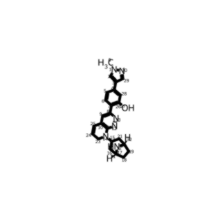 Cn1cc(-c2ccc(-c3cc4c(nn3)N(C3C[C@H]5CC[C@@H](C3)N5)CC=C4)c(O)c2)cn1